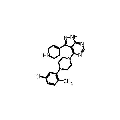 Cc1ccc(Cl)cc1N1CCN(c2ncnc3[nH]nc(C4=CCNCC4)c23)CC1